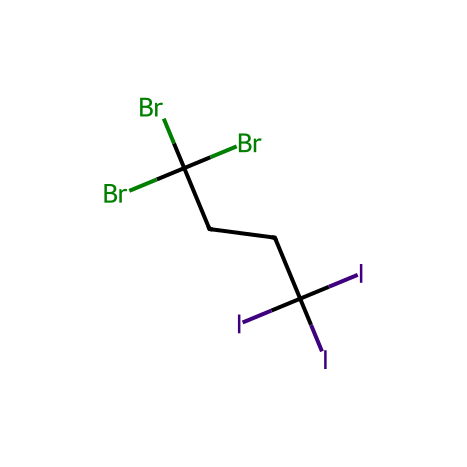 BrC(Br)(Br)CCC(I)(I)I